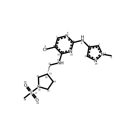 Cn1cc(Nc2ncc(Cl)c(NC[C@@H]3CCN(S(C)(=O)=O)C3)n2)cn1